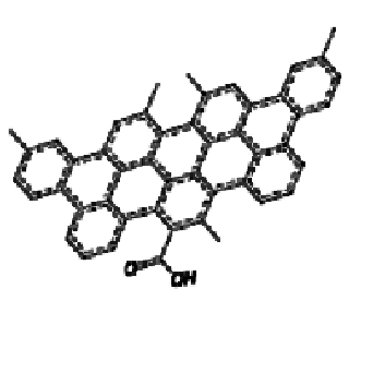 Cc1ccc2c(c1)c1cc(C)c3c4c(C)cc5c6cc(C)ccc6c6cccc7c8c(C(=O)O)c(C)c9c%10cccc2c%10c1c3c9c8c4c5c67